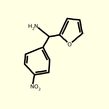 NC(c1ccc([N+](=O)[O-])cc1)c1cc[c]o1